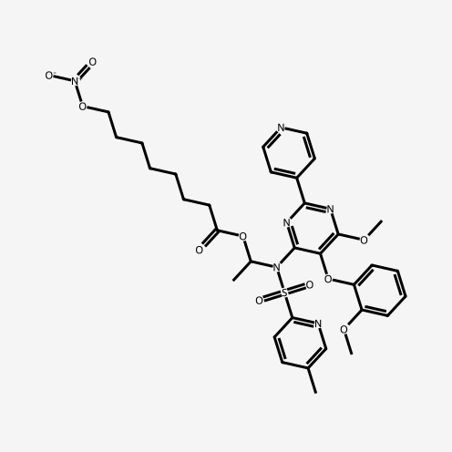 COc1ccccc1Oc1c(OC)nc(-c2ccncc2)nc1N(C(C)OC(=O)CCCCCCCO[N+](=O)[O-])S(=O)(=O)c1ccc(C)cn1